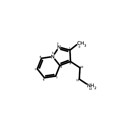 Cc1nn2ccccc2c1CCN